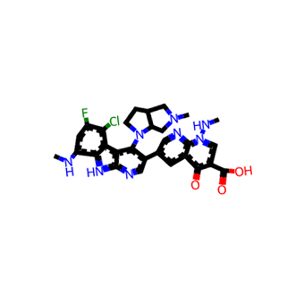 CNc1cc(F)c(Cl)c2c1[nH]c1ncc(-c3cnc4c(c3)c(=O)c(C(=O)O)cn4NC)c(N3CCC4CN(C)CC43)c12